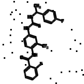 CC(NC(=S)Nc1ccc(NC(=O)c2ccccc2F)c(C(F)(F)F)c1)c1ccc(F)cc1